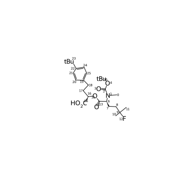 CN(C(=O)OC(C)(C)C)[C@@H](CCC(C)(C)F)C(=O)O[C@H](CCc1ccc(C(C)(C)C)cc1)C(=O)O